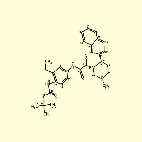 CCc1cc(NC(=O)C(=O)N2C[C@@H](C)CC[C@@H]2c2ccc3cnccc3c2)cnc1NC(=O)OC(C)(C)C